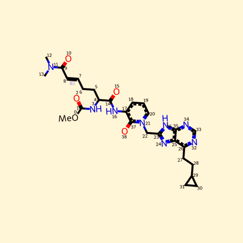 COC(=O)NC(CC/C=C/C(=O)N(C)C)C(=O)Nc1cccn(Cc2nc3c(CCC4CC4)ncnc3[nH]2)c1=O